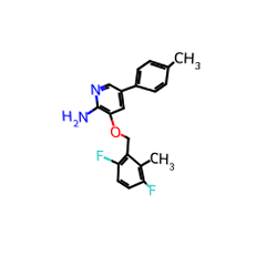 Cc1ccc(-c2cnc(N)c(OCc3c(F)ccc(F)c3C)c2)cc1